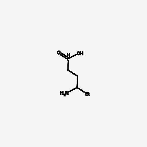 CCC(N)CC[PH](=O)O